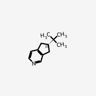 CC(C)(C)[C@H]1Cc2ccncc2C1